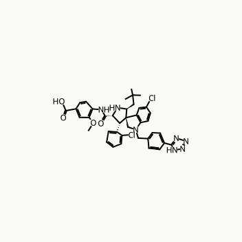 COc1cc(C(=O)O)ccc1NC(=O)[C@@H]1N[C@@H](CC(C)(C)C)[C@@]2(CN(Cc3ccc(-c4nnn[nH]4)cc3)c3ccc(Cl)cc32)[C@@H]1c1ccccc1Cl